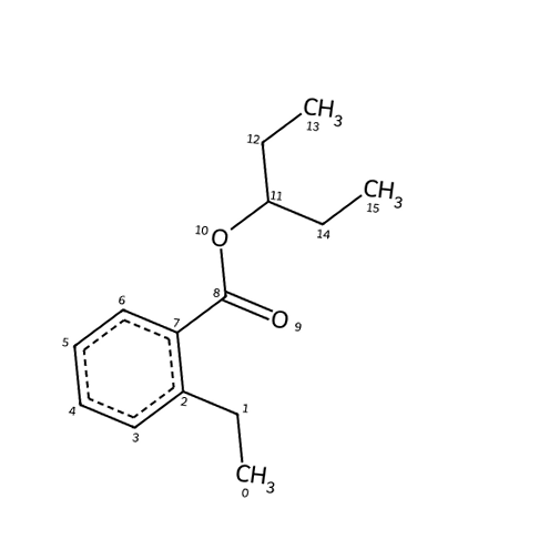 CCc1ccccc1C(=O)OC(CC)CC